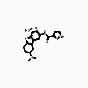 CN(C)C1CCc2oc3ccc(NC(=O)c4cc[nH]n4)cc3c2C1.O=CO